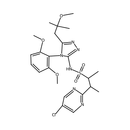 COc1cccc(OC)c1-n1c(CC(C)(C)OC)nnc1NS(=O)(=O)C(C)C(C)c1ncc(Cl)cn1